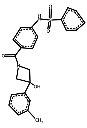 Cc1cccc(C2(O)CN(C(=O)c3ccc(NS(=O)(=O)c4ccccc4)cc3)C2)c1